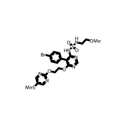 COCCNS(=O)(=O)Nc1ncnc(OCCOc2ncc(SC)cn2)c1-c1ccc(Br)cc1